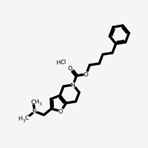 CN(C)Cc1cc2c(o1)CCN(C(=O)OCCCCc1ccccc1)C2.Cl